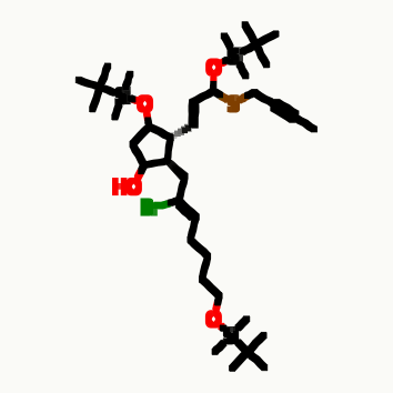 CC#CCSC(/C=C/[C@H]1C(O[Si](C)(C)C(C)(C)C)CC(O)[C@@H]1C/C(Br)=C/CCCCO[Si](C)(C)C(C)(C)C)O[Si](C)(C)C(C)(C)C